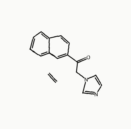 C=C.O=C(Cn1ccnc1)c1ccc2ccccc2c1